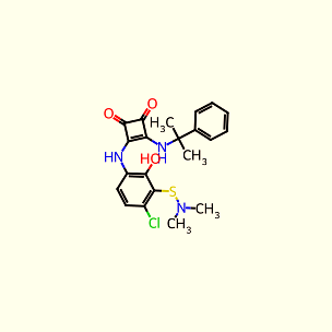 CN(C)Sc1c(Cl)ccc(Nc2c(NC(C)(C)c3ccccc3)c(=O)c2=O)c1O